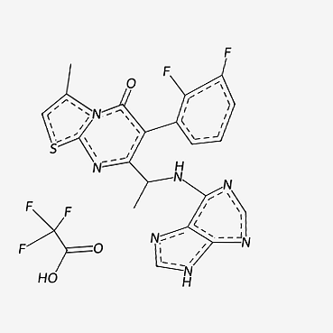 Cc1csc2nc(C(C)Nc3ncnc4[nH]cnc34)c(-c3cccc(F)c3F)c(=O)n12.O=C(O)C(F)(F)F